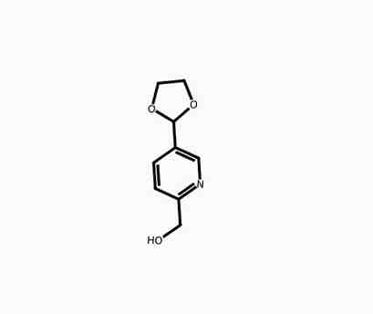 OCc1ccc(C2OCCO2)cn1